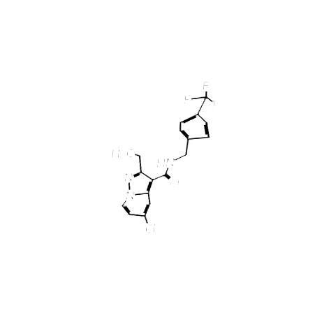 CCc1nn2ccc(Cl)cc2c1C(=O)NCc1ccc(C(F)(F)F)cc1